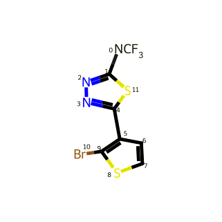 FC(F)(F)Nc1nnc(-c2ccsc2Br)s1